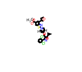 COC(=O)c1cc(C2CCOC2)c2nc(N3C[C@@H]4C[C@H]3C[C@H]4OCc3c(-c4c(Cl)cccc4Cl)noc3C3CC3)sc2c1